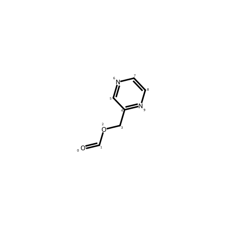 O=COCc1cnccn1